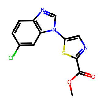 COC(=O)c1ncc(-n2cnc3ccc(Cl)cc32)s1